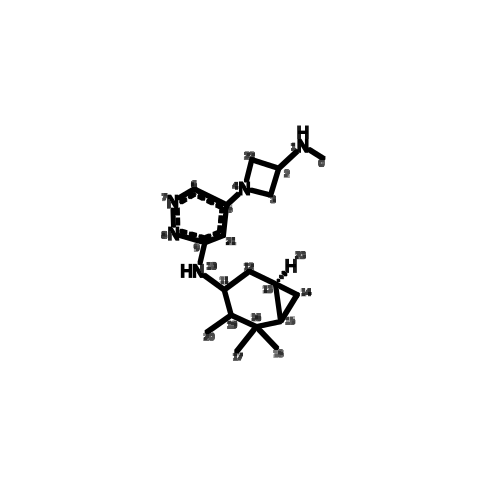 CNC1CN(c2cnnc(NC3C[C@H]4CC4C(C)(C)C3C)c2)C1